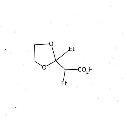 CCC(C(=O)O)C1(CC)OCCO1